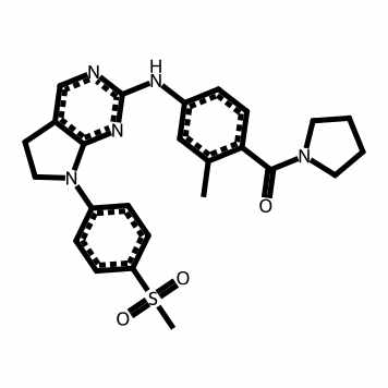 Cc1cc(Nc2ncc3c(n2)N(c2ccc(S(C)(=O)=O)cc2)CC3)ccc1C(=O)N1CCCC1